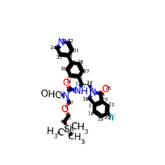 C[Si](C)(C)CCOCN(C=O)C(=O)N[C@@H](CN1Cc2ccc(F)cc2C1=O)c1ccc(-c2ccncc2)cc1